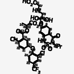 CC(C)N1C(=O)c2ccccc2NS1(=O)=O.C[C@H](OC(=O)c1cc(Oc2ccc(C(F)(F)F)cc2Cl)ccc1Cl)C(=O)O.O=C(O)CNCP(=O)(O)O